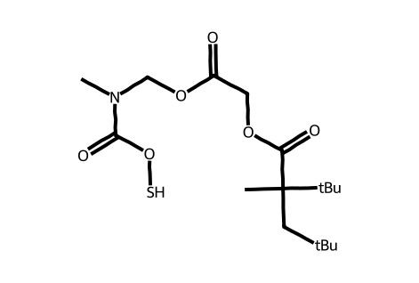 CN(COC(=O)COC(=O)C(C)(CC(C)(C)C)C(C)(C)C)C(=O)OS